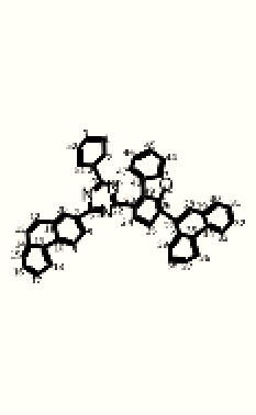 C1=CCC(c2nc(-c3ccc4c(ccc5ccccc54)c3)nc(-c3ccc(-c4cc5ccccc5c5ccccc45)c4oc5ccccc5c34)n2)C=C1